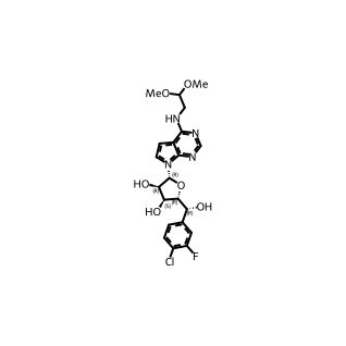 COC(CNc1ncnc2c1ccn2[C@@H]1O[C@H]([C@H](O)c2ccc(Cl)c(F)c2)[C@@H](O)[C@H]1O)OC